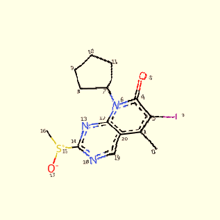 Cc1c(I)c(=O)n(C2CCCC2)c2nc([S+](C)[O-])ncc12